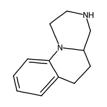 c1ccc2c(c1)CCC1CNCCN21